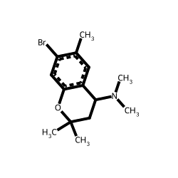 Cc1cc2c(cc1Br)OC(C)(C)CC2N(C)C